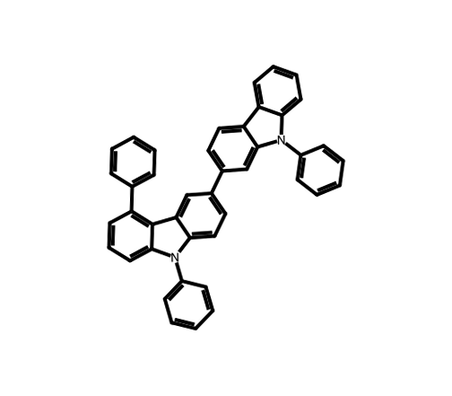 c1ccc(-c2cccc3c2c2cc(-c4ccc5c6ccccc6n(-c6ccccc6)c5c4)ccc2n3-c2ccccc2)cc1